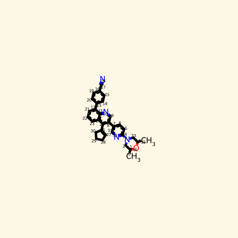 CC1CN(c2ccc(-c3cnc4c(-c5ccc(C#N)cc5)cccc4c3C3=CCCC3)cn2)CC(C)O1